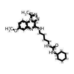 COc1ccc2c(c1)nc(NCCCCNC(=O)NC1CCCCC1)c1nnc(C)n12